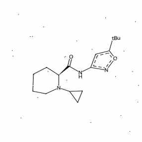 CC(C)(C)c1cc(NC(=O)[C@@H]2CCCCN2C2CC2)no1